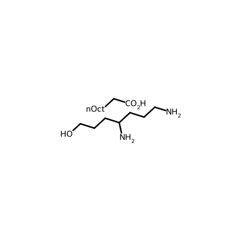 CCCCCCCCCC(=O)O.NCCCC(N)CCCO